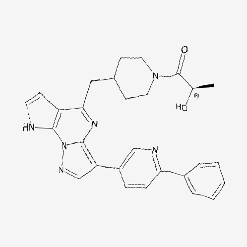 C[C@@H](O)C(=O)N1CCC(Cc2nc3c(-c4ccc(-c5ccccc5)nc4)cnn3c3[nH]ccc23)CC1